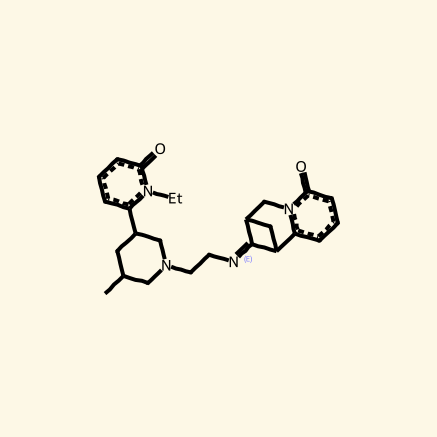 CCn1c(C2CC(C)CN(CC/N=C3\C4CC3c3cccc(=O)n3C4)C2)cccc1=O